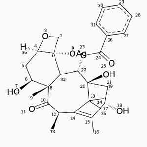 CC(=O)O[C@@]12CO[C@@H]1C[C@H](O)[C@@]1(C)C(=O)[C@H](C)C3=C(C)[C@@H](O)C[C@@](O)([C@@H](OC(=O)c4ccccc4)C12)C3(C)C